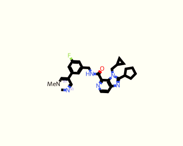 C/N=C\C(=C/NC)c1cc(F)cc(CNC(=O)c2nccc3nc(C4CCCC4)n(CC4CC4)c23)c1